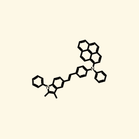 Cc1c(C)n(-c2ccccc2)c2ccc(/C=C/c3ccc(N(c4ccccc4)c4ccc5ccc6cccc7ccc4c5c67)cc3)cc12